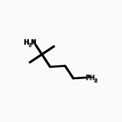 CC(C)(N)CCCP